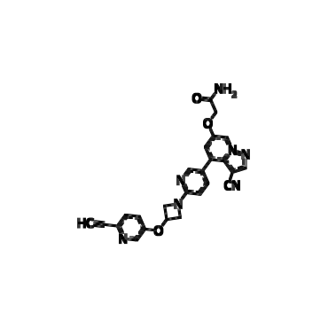 C#Cc1ccc(OC2CN(c3ccc(-c4cc(OCC(N)=O)cn5ncc(C#N)c45)cn3)C2)cn1